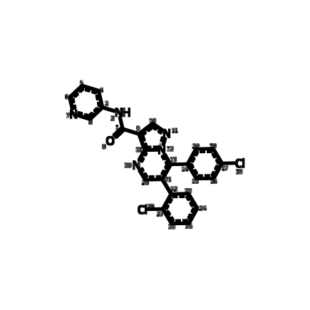 O=C(Nc1cccnc1)c1cnn2c(-c3ccc(Cl)cc3)c(-c3ccccc3Cl)cnc12